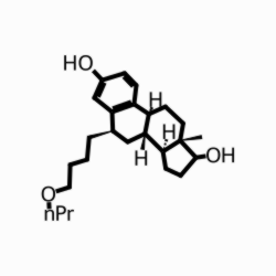 CCCOCCCC[C@@H]1C[C@@H]2[C@H](CC[C@]3(C)C(O)CC[C@@H]23)c2ccc(O)cc21